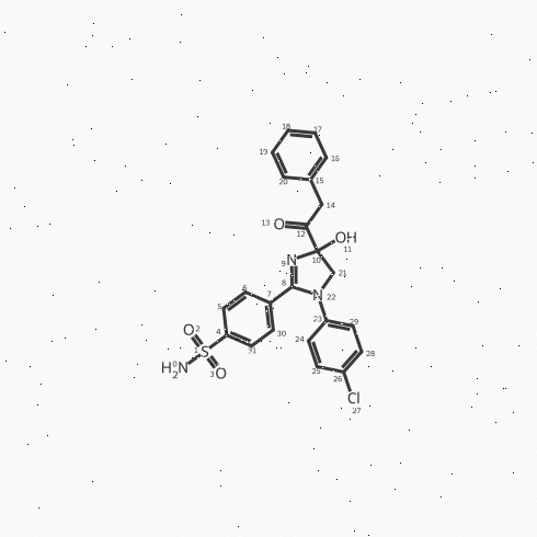 NS(=O)(=O)c1ccc(C2=NC(O)(C(=O)Cc3ccccc3)CN2c2ccc(Cl)cc2)cc1